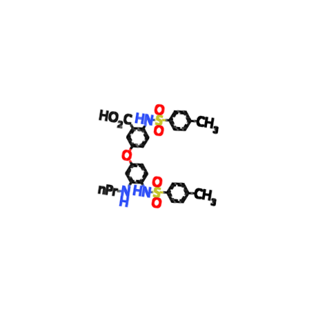 CCCNc1cc(Oc2ccc(NS(=O)(=O)c3ccc(C)cc3)c(C(=O)O)c2)ccc1NS(=O)(=O)c1ccc(C)cc1